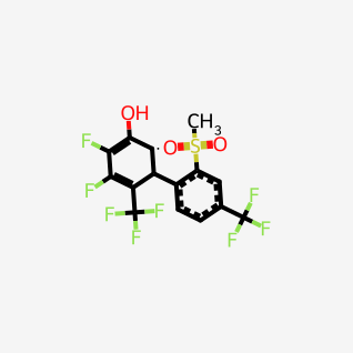 CS(=O)(=O)c1cc(C(F)(F)F)ccc1C1[CH]C(O)=C(F)C(F)=C1C(F)(F)F